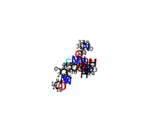 Cc1cc2c(cnn2C2CCCCO2)c(-c2ccc3c(N4C[C@H]5CC[C@@H](C4)N5C(=O)O)nc(OCC4CCCN4C)nc3c2F)c1C